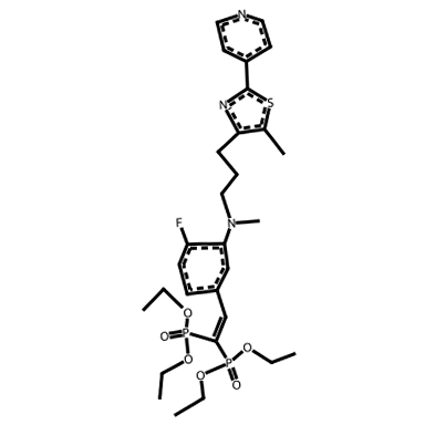 CCOP(=O)(OCC)C(=Cc1ccc(F)c(N(C)CCCc2nc(-c3ccncc3)sc2C)c1)P(=O)(OCC)OCC